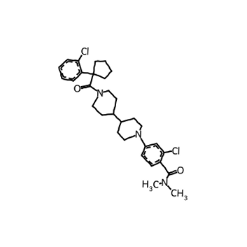 CN(C)C(=O)c1ccc(N2CCC(C3CCN(C(=O)C4(c5ccccc5Cl)CCCC4)CC3)CC2)cc1Cl